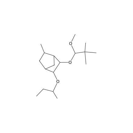 CCC(C)OC1C2CC(C)C(C2)C1OC(OC)C(C)(C)C